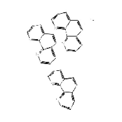 [Cr].[Fe].c1cnc2c(c1)ccc1cccnc12.c1cnc2c(c1)ccc1cccnc12.c1cnc2c(c1)ccc1cccnc12